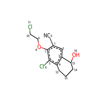 N#Cc1cc2c(c(Cl)c1OCCCl)CCCC2O